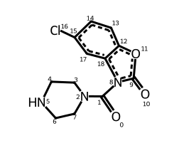 O=C(N1CCNCC1)n1c(=O)oc2ccc(Cl)cc21